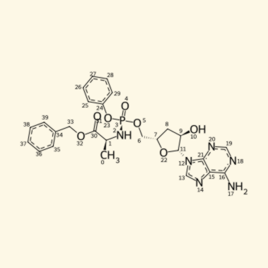 C[C@H](N[P@@](=O)(OC[C@@H]1C[C@@H](O)[C@H](n2cnc3c(N)ncnc32)O1)Oc1ccccc1)C(=O)OCc1ccccc1